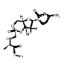 CC(C)OC(=O)[C@@H](C)NC[P@@]1(=O)OC[C@H]2O[C@@H](n3ccc(N)nc3=O)C(F)(F)[C@@H]2O1